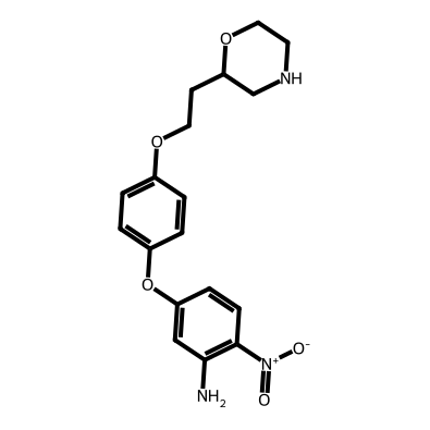 Nc1cc(Oc2ccc(OCCC3CNCCO3)cc2)ccc1[N+](=O)[O-]